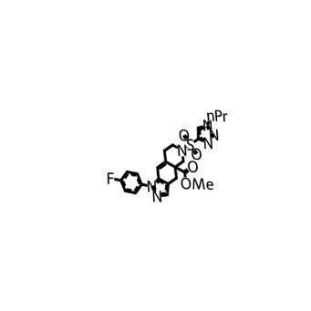 CCCn1cc(S(=O)(=O)N2CCC3=Cc4c(cnn4-c4ccc(F)cc4)CC3(C(=O)OC)C2)nn1